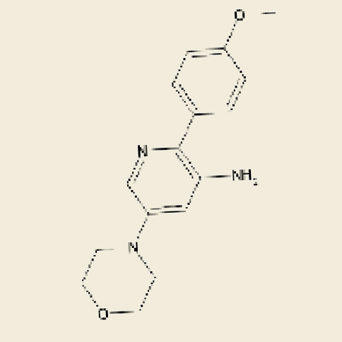 COc1ccc(-c2ncc(N3CCOCC3)cc2N)cc1